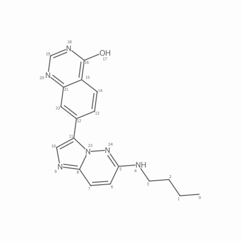 CCCCNc1ccc2ncc(-c3ccc4c(O)ncnc4c3)n2n1